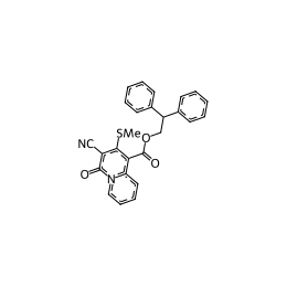 CSc1c(C#N)c(=O)n2ccccc2c1C(=O)OCC(c1ccccc1)c1ccccc1